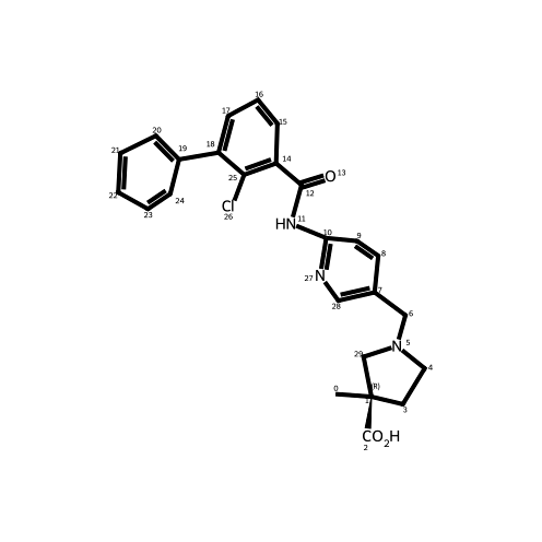 C[C@@]1(C(=O)O)CCN(Cc2ccc(NC(=O)c3cccc(-c4ccccc4)c3Cl)nc2)C1